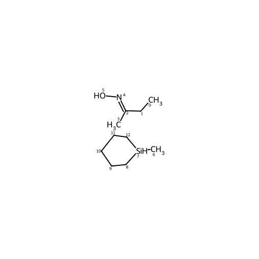 CCC(C)=NO.C[SiH]1CCCCC1